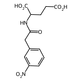 O=C(O)CCC(NC(=O)Cc1cccc([N+](=O)[O-])c1)C(=O)O